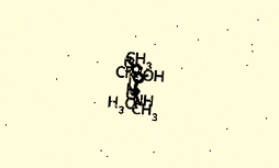 COc1ccc2c(O)cc(-c3cc(NC(C)C)on3)nc2c1Cl